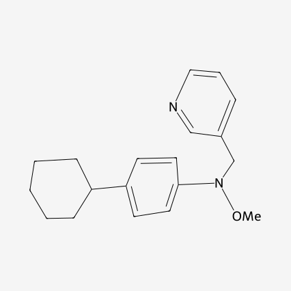 CON(Cc1cccnc1)c1ccc(C2CCCCC2)cc1